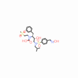 CC(C)CN(C[C@@H](O)[C@H](Cc1ccccc1)N(CCS(C)(=O)=O)C(=O)O)S(=O)(=O)c1ccc(C=NO)cc1